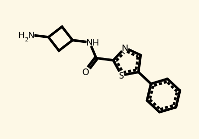 NC1CC(NC(=O)c2ncc(-c3ccccc3)s2)C1